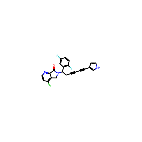 O=C1c2nccc(Cl)c2CN1C(CC#CC#Cc1cc[nH]c1)c1cc(F)ccc1F